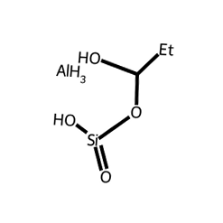 CCC(O)O[Si](=O)O.[AlH3]